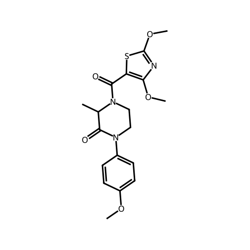 COc1ccc(N2CCN(C(=O)c3sc(OC)nc3OC)C(C)C2=O)cc1